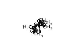 COc1cc(NC(=O)c2cc(C)cc(NC(C)=O)c2)cc(OC)c1OC